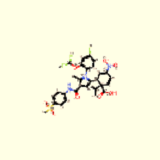 Cc1c(C(=O)Nc2ccc(S(C)(=O)=O)cc2)cc(C2C=C([N+](=O)[O-])C=CC2(C(=O)O)C(C)C)n1-c1ccc(F)cc1OC(F)F